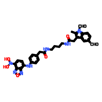 Cc1c(CC(=O)NCCCCNC(=O)Cc2ccc(Nc3ccc(N(O)O)c4nonc34)cc2)c2cc(C=O)ccc2n1C=O